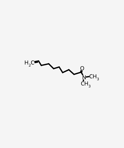 C=CCCCCCCCC(=O)N(C)C